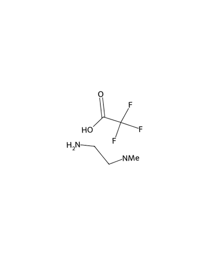 CNCCN.O=C(O)C(F)(F)F